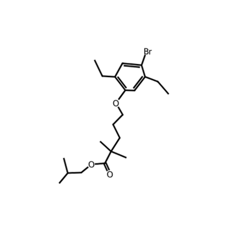 CCc1cc(OCCCC(C)(C)C(=O)OCC(C)C)c(CC)cc1Br